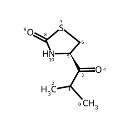 CC(C)C(=O)[C@@H]1CSC(=O)N1